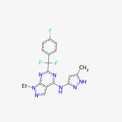 CCn1ncc2c(Nc3cc(C)[nH]n3)nc(C(F)(F)c3ccc(F)cc3)nc21